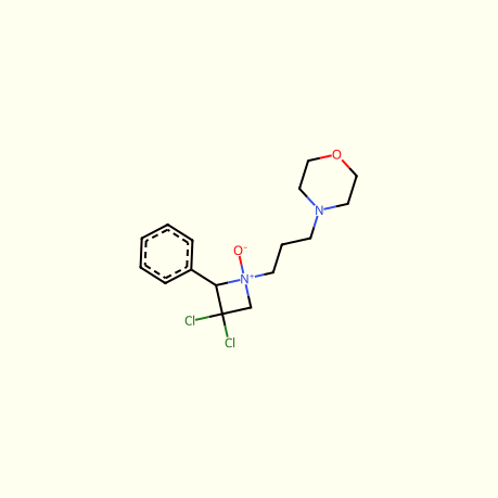 [O-][N+]1(CCCN2CCOCC2)CC(Cl)(Cl)C1c1ccccc1